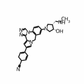 CNC[C@H]1CN(c2ccc3c(c2)Cn2cc(C4=CCC(C#N)C=C4)cc2-c2nncn2-3)C[C@H]1O